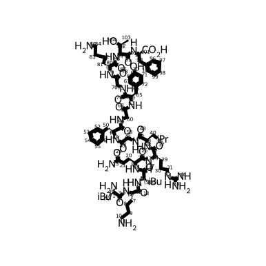 CC[C@H](C)[C@H](N)C(=O)N[C@@H](CCCCN)C(=O)N[C@H](C(=O)N[C@@H](CCC(N)=O)C(=O)N[C@@H](CCCNC(=N)N)C(=O)N[C@H](CC(C)C)C(=O)NCC(=O)N[C@H](Cc1ccccc1)C(=O)NCC(=O)N[C@H](Cc1ccc(O)cc1)C(=O)NCC(=O)N[C@H](CCCCN)C(=O)N[C@@H](C(=O)N[C@H](Cc1ccccc1)C(=O)O)[C@H](C)O)[C@@H](C)CC